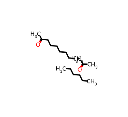 CC(C)=O.CCCCCC.CCCCCCCC(C)=O